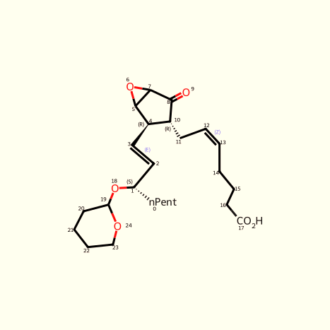 CCCCC[C@@H](/C=C/[C@H]1C2OC2C(=O)[C@@H]1C/C=C\CCCC(=O)O)OC1CCCCO1